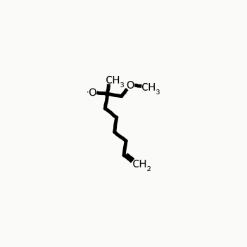 C=CCCCCC(C)([O])COC